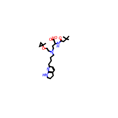 CC(C)(C)CC(=O)NC(CCN(CCCCc1ccc2c(n1)NCCC2)CCOC1(C)CC1)C(=O)O